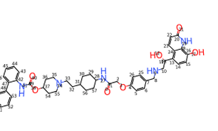 O=C(COc1ccc(CNC[C@H](O)c2ccc(O)c3[nH]c(=O)ccc23)cc1)NC1CCC(CCN2CCC(OC(=O)Nc3ccccc3-c3ccccc3)CC2)CC1